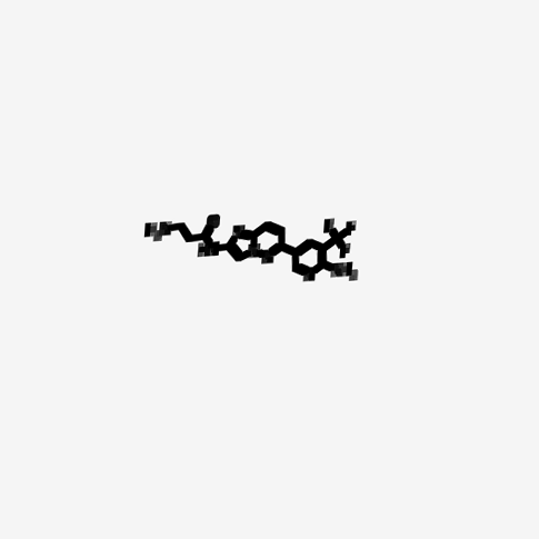 NCCC(=O)Nc1cn2nc(-c3cnc(N)c(C(F)(F)F)c3)ccc2n1